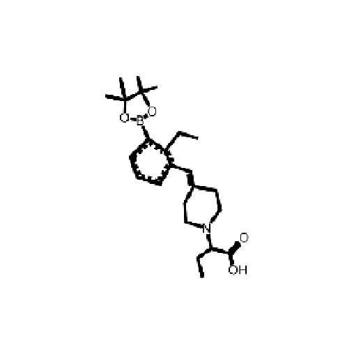 CCc1c(C=C2CCN(C(CC)C(=O)O)CC2)cccc1B1OC(C)(C)C(C)(C)O1